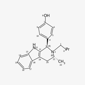 CC(C)CN1[C@H](c2ccc(O)cc2)c2[nH]c3ccccc3c2C[C@H]1C